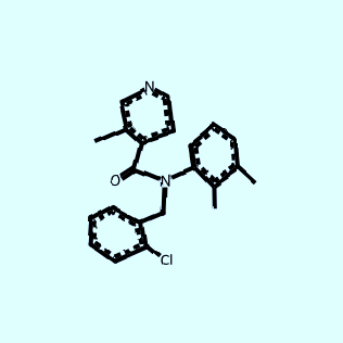 Cc1cnccc1C(=O)N(Cc1ccccc1Cl)c1cccc(C)c1C